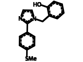 CSc1ccc(-c2nccn2Cc2ccccc2O)cc1